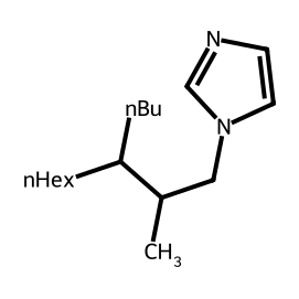 CCCCCCC(CCCC)C(C)Cn1ccnc1